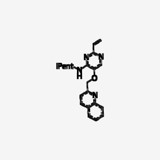 C=Cc1ncc(OCc2ccc3ccccc3n2)c(NC(C)CCC)n1